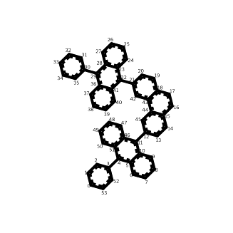 c1ccc(-c2c3ccccc3c(-c3ccc4ccc5ccc(-c6c7ccccc7c(-c7ccccc7)c7ccccc67)cc5c4c3)c3ccccc23)cc1